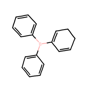 C1=CC(B(c2ccccc2)c2ccccc2)=CCC1